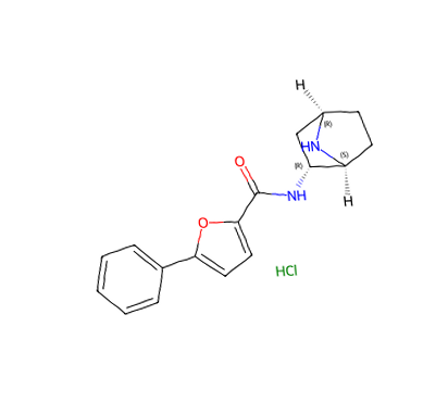 Cl.O=C(N[C@@H]1C[C@H]2CC[C@@H]1N2)c1ccc(-c2ccccc2)o1